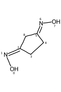 O/N=C1\CC/C(=N\O)C1